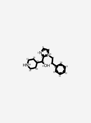 OC(c1nccn1CCc1ccccc1)C1CCNCC1